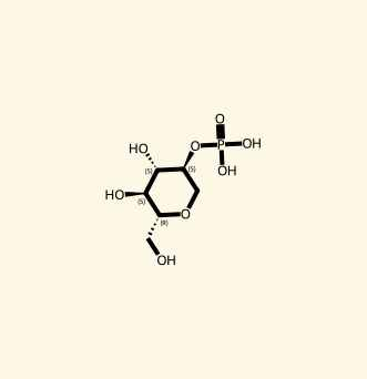 O=P(O)(O)O[C@H]1CO[C@H](CO)[C@@H](O)[C@@H]1O